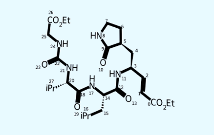 CCOC(=O)/C=C/[C@H](C[C@@H]1CCNC1=O)NC(=O)[C@H](CC(C)C)NC(=O)[C@@H](NC(=O)NCC(=O)OCC)C(C)C